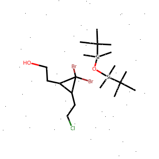 CC(C)(C)[Si](C)(C)O[Si](C)(C)C(C)(C)C.OCCC1C(CCCl)C1(Br)Br